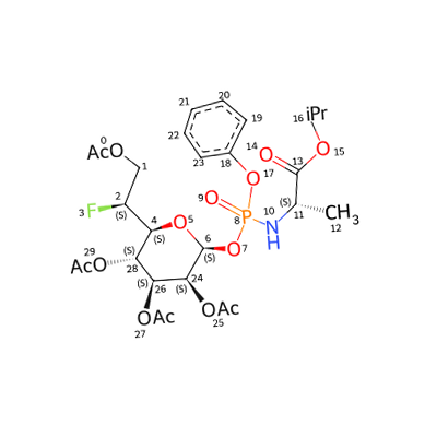 CC(=O)OC[C@H](F)[C@H]1O[C@@H](OP(=O)(N[C@@H](C)C(=O)OC(C)C)Oc2ccccc2)[C@@H](OC(C)=O)[C@@H](OC(C)=O)[C@@H]1OC(C)=O